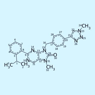 CC(C)c1ccccc1-c1ncc2c(n1)n(Cc1ccc(-c3cn(C)nn3)cc1)c(=O)n2C